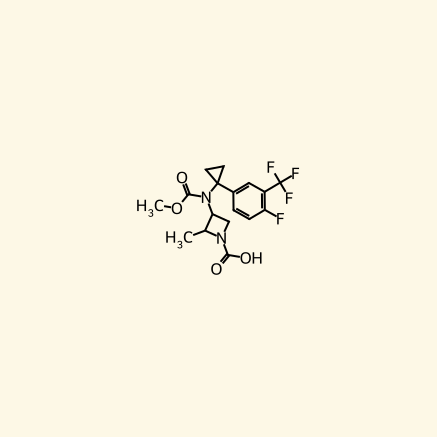 COC(=O)N(C1CN(C(=O)O)C1C)C1(c2ccc(F)c(C(F)(F)F)c2)CC1